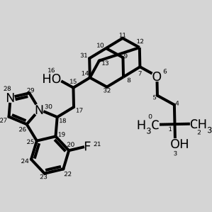 CC(C)(O)CCOC1C2CC3CC1CC(C(O)CC1c4c(F)cccc4-c4cncn41)(C3)C2